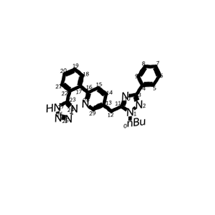 CCCCn1nc(-c2ccccc2)nc1Cc1ccc(-c2ccccc2-c2nnn[nH]2)nc1